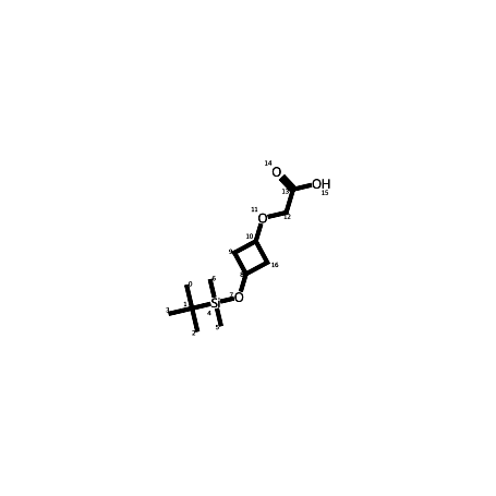 CC(C)(C)[Si](C)(C)OC1CC(OCC(=O)O)C1